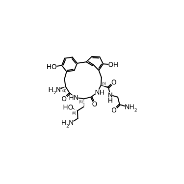 NC[C@H](O)C[C@@H]1NC(=O)[C@@H](N)Cc2cc(ccc2O)-c2ccc(O)c(c2)C[C@@H](C(=O)NCC(N)=O)NC1=O